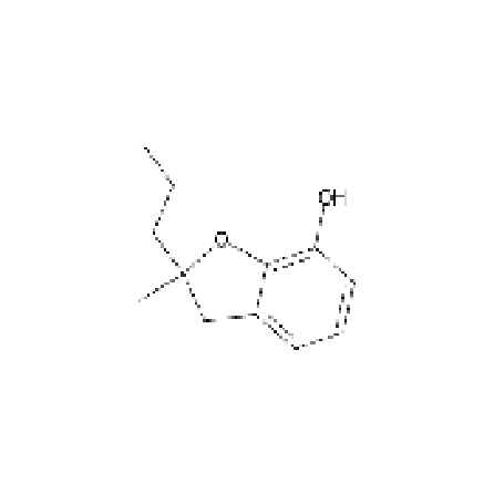 CCCC1(C)Cc2cccc(O)c2O1